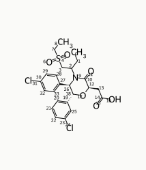 CCC(CS(=O)(=O)CC)N1C(=O)[C@@H](CC(=O)O)O[C@H](c2cccc(Cl)c2)[C@H]1c1ccc(Cl)cc1